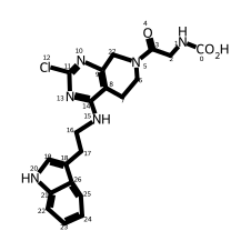 O=C(O)NCC(=O)N1CCc2c(nc(Cl)nc2NCCc2c[nH]c3ccccc23)C1